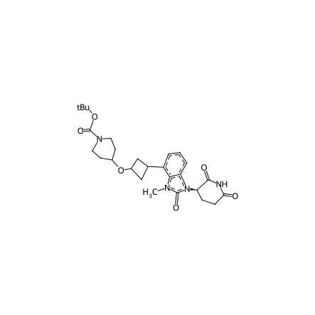 Cn1c(=O)n([C@@H]2CCC(=O)NC2=O)c2cccc(C3CC(OC4CCN(C(=O)OC(C)(C)C)CC4)C3)c21